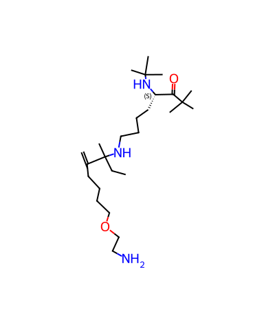 C=C(CCCCOCCN)C(C)(CC)NCCCC[C@H](NC(C)(C)C)C(=O)C(C)(C)C